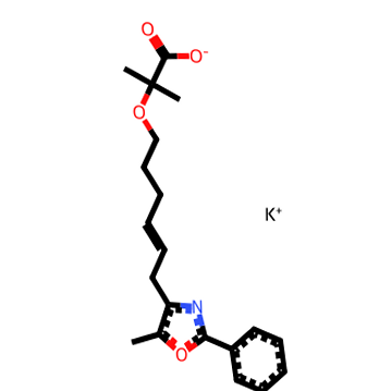 Cc1oc(-c2ccccc2)nc1CC=CCCCOC(C)(C)C(=O)[O-].[K+]